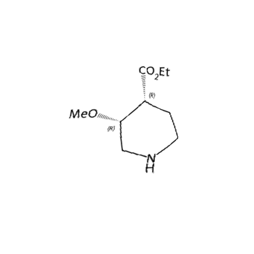 CCOC(=O)[C@@H]1CCNC[C@@H]1OC